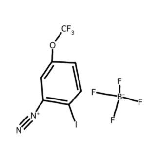 F[B-](F)(F)F.N#[N+]c1cc(OC(F)(F)F)ccc1I